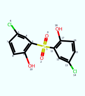 O=S(=O)(c1cc(Cl)ccc1O)c1cc(Cl)ccc1O